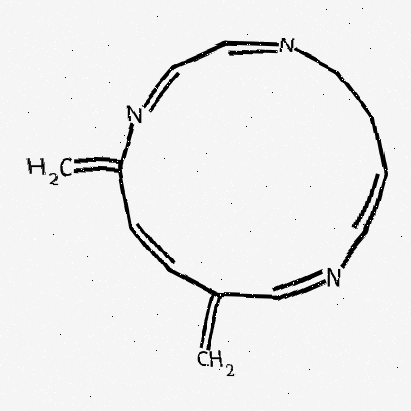 C=C1/C=C\C(=C)/N=C\C=N/CC/C=C\N=C/1